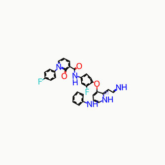 N=C/C=C1\NC=C(Nc2ccccc2)C=C1Oc1ccc(NC(=O)c2cccn(-c3ccc(F)cc3)c2=O)cc1F